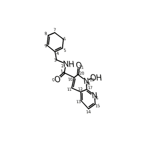 O=C(NCC1=CCCC=C1)c1cc2cccnc2n(O)c1=O